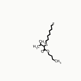 CCCCOC(=O)C(SCCCCCCCF)C(C)C